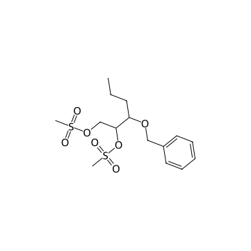 CCCC(OCc1ccccc1)C(COS(C)(=O)=O)OS(C)(=O)=O